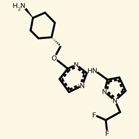 N[C@H]1CC[C@H](COc2ccnc(Nc3ccn(CC(F)F)n3)n2)CC1